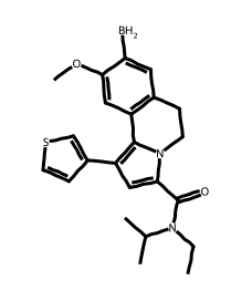 Bc1cc2c(cc1OC)-c1c(-c3ccsc3)cc(C(=O)N(CC)C(C)C)n1CC2